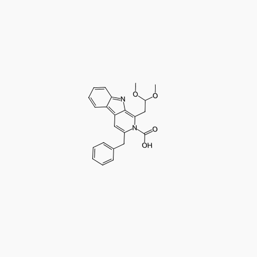 COC(Cc1c2nc3ccccc3c-2cc(Cc2ccccc2)n1C(=O)O)OC